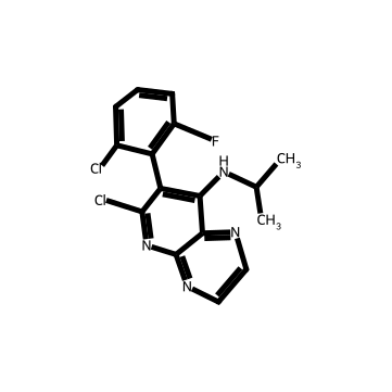 CC(C)Nc1c(-c2c(F)cccc2Cl)c(Cl)nc2nccnc12